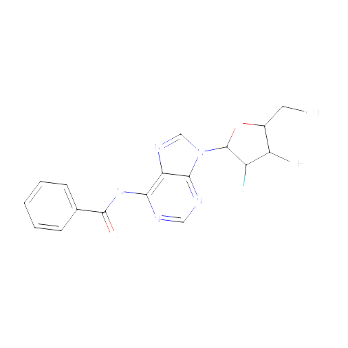 CCC1OC(n2cnc3c(NC(=O)c4ccccc4)ncnc32)C(F)C1C